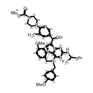 CCCC(Nc1nc(N(Cc2ccc(OC)cc2)Cc2ccc(OC)cc2)c2ncc(C(O)c3cnc(N4CCN(C(=O)OC(C)(C)C)CC4)c(C)c3)n2n1)C(F)(F)F